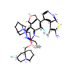 COCCCN1CC2CCC(C1)N2c1nc(OC[C@@]23CCCN2C[C@H](F)C3)nc2c(F)c(-c3ccnc4sc(N)c(C#N)c34)c3c(c12)COC3